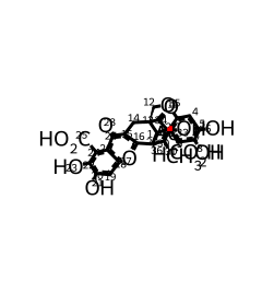 CC(=O)[C@]12c3c(cc(O)c(O)c3C(=O)O)OC[C@]13Cc1c(oc4cc(O)c(O)c(C(=O)O)c4c1=O)[C@H]2C(C)=C(O)C3=O